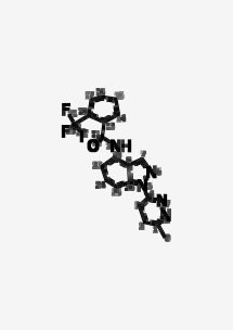 Cc1ccc(-n2ncc3c(NC(=O)c4ccccc4C(F)(F)F)cccc32)nn1